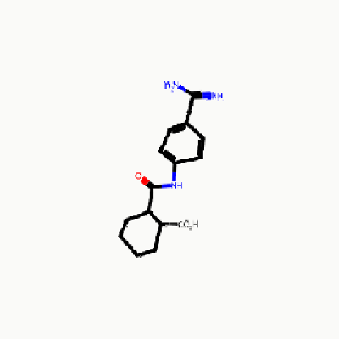 N=C(N)c1ccc(NC(=O)C2CCCCC2C(=O)O)cc1